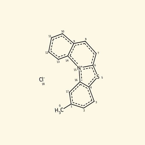 Cc1ccc2sc3ccc4ccccc4[n+]3c2c1.[Cl-]